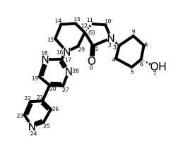 O=C1N([C@H]2CC[C@@H](O)CC2)CC[C@]12CCCN(c1ncc(-c3ccncc3)cn1)C2